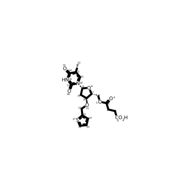 O=C(O)CCC(=O)OC[C@H]1O[C@@H](n2cc(F)c(=O)[nH]c2=O)C[C@@H]1OCc1cccs1